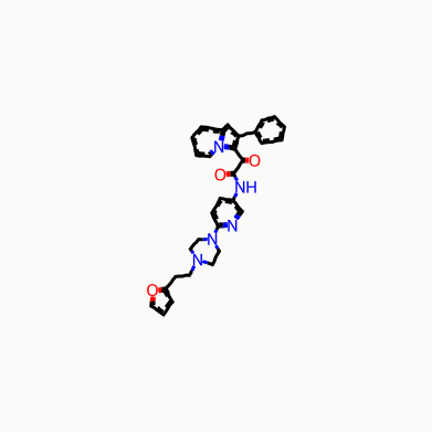 O=C(Nc1ccc(N2CCN(CCc3ccco3)CC2)nc1)C(=O)c1c(-c2ccccc2)cc2ccccn12